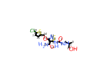 CC(CO)CNC(=O)Nc1snc(OCc2ccc(Cl)s2)c1C(N)=O